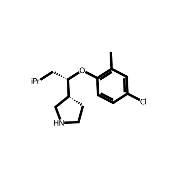 Cc1cc(Cl)ccc1O[C@@H](CC(C)C)[C@@H]1CCNC1